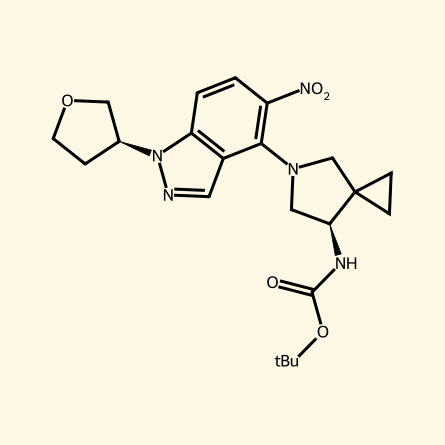 CC(C)(C)OC(=O)N[C@H]1CN(c2c([N+](=O)[O-])ccc3c2cnn3[C@H]2CCOC2)CC12CC2